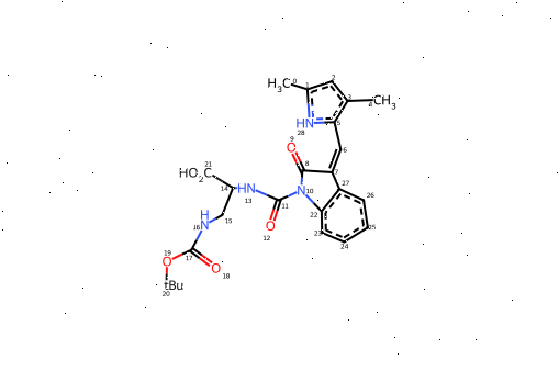 Cc1cc(C)c(/C=C2\C(=O)N(C(=O)NC(CNC(=O)OC(C)(C)C)C(=O)O)c3ccccc32)[nH]1